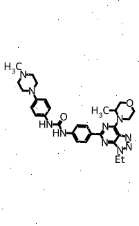 CCn1nnc2c(N3CCOCC3C)nc(-c3ccc(NC(=O)Nc4ccc(N5CCN(C)CC5)cc4)cc3)nc21